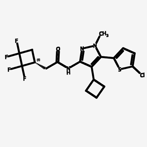 Cn1nc(NC(=O)C[C@H]2CC(F)(F)C2(F)F)c(C2CCC2)c1-c1ccc(Cl)s1